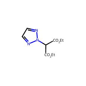 CCOC(=O)C(C(=O)OCC)n1nccn1